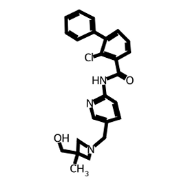 CC1(CO)CN(Cc2ccc(NC(=O)c3cccc(-c4ccccc4)c3Cl)nc2)C1